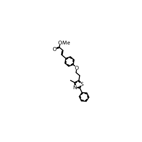 COC(=O)C=Cc1ccc(OCCc2sc(-c3ccccc3)nc2C)cc1